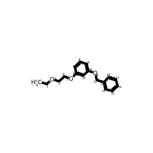 CCOCCOc1cccc(OCc2ccccc2)c1